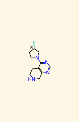 F[C@@H]1CCN(c2ncnc3c2CCNC3)C1